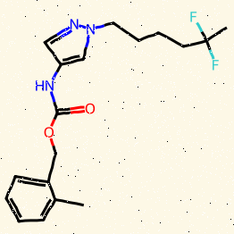 Cc1ccccc1COC(=O)Nc1cnn(CCCCC(C)(F)F)c1